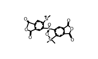 C[Si](C)(C)c1cc2c(cc1S(=O)(=O)c1cc3c(cc1[Si](C)(C)C)C(=O)OC3=O)C(=O)OC2=O